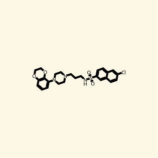 O=S(=O)(NCCCN1CCN(c2cccc3c2OCCO3)CC1)c1ccc2cc(Cl)ccc2c1